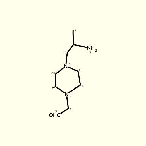 CC(N)CN1CCN(CC=O)CC1